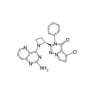 Nc1nc(N2CC[C@H]2c2nn3ccc(Cl)c3c(=O)n2-c2ccccc2)c2ncccc2n1